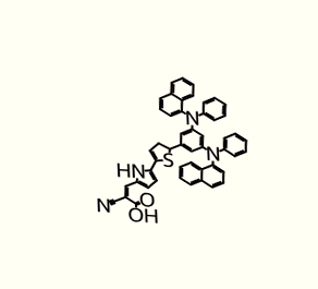 N#C/C(=C/c1ccc(C2=CCC(c3cc(N(c4ccccc4)c4cccc5ccccc45)cc(N(c4ccccc4)c4cccc5ccccc45)c3)S2)[nH]1)C(=O)O